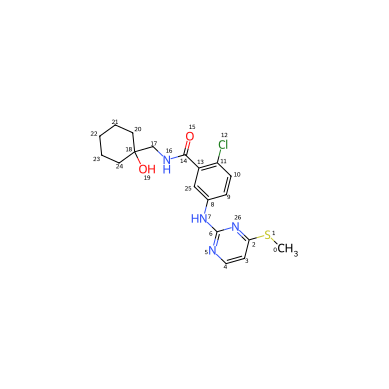 CSc1ccnc(Nc2ccc(Cl)c(C(=O)NCC3(O)CCCCC3)c2)n1